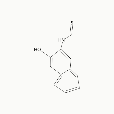 Oc1cc2ccccc2cc1NC=S